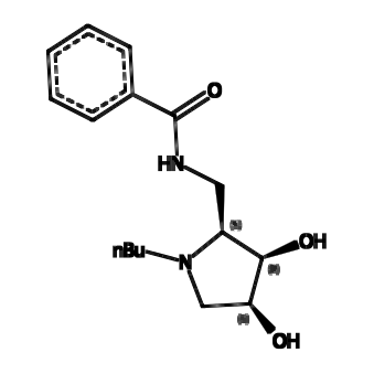 CCCCN1C[C@H](O)[C@H](O)[C@@H]1CNC(=O)c1ccccc1